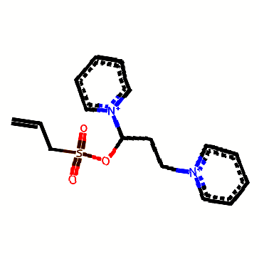 C=CCS(=O)(=O)OC(CC[n+]1ccccc1)[n+]1ccccc1